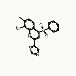 Cc1ccc2c(S(=O)(=O)c3ccccc3)cc(-c3cncs3)nc2c1Br